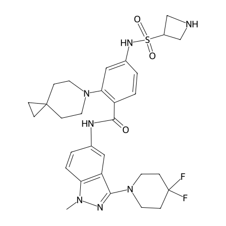 Cn1nc(N2CCC(F)(F)CC2)c2cc(NC(=O)c3ccc(NS(=O)(=O)C4CNC4)cc3N3CCC4(CC3)CC4)ccc21